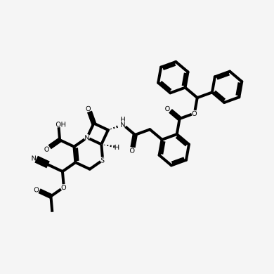 CC(=O)OC(C#N)C1=C(C(=O)O)N2C(=O)[C@H](NC(=O)Cc3ccccc3C(=O)OC(c3ccccc3)c3ccccc3)[C@H]2SC1